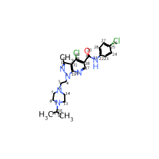 Cc1nn(CCN2CCN(C(C)C)CC2)c2ncc(C(=O)Nc3ccc(Cl)cc3)c(Cl)c12